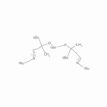 CC(C)(C)/N=C/C(C)(ONOC(C)(/C=N/C(C)(C)C)C(C)(C)C)C(C)(C)C